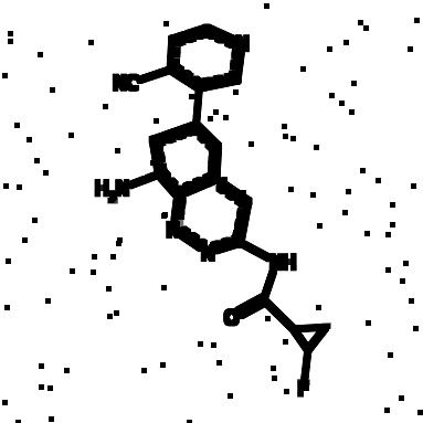 N#Cc1ccncc1-c1cc(N)c2nnc(NC(=O)C3CC3F)cc2c1